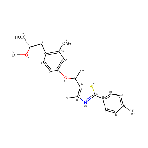 CCO[C@@H](Cc1ccc(OC(C)c2sc(-c3ccc(C(F)(F)F)cc3)nc2C)cc1OC)C(=O)O